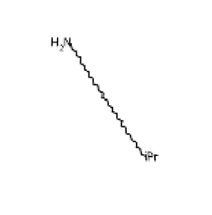 CC(C)CCCCCCCCCCCCCCCCCCCCCCCCCCCCCCCCN